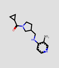 O=C(C1CC1)N1CCC(CNc2ccncc2[N+](=O)[O-])C1